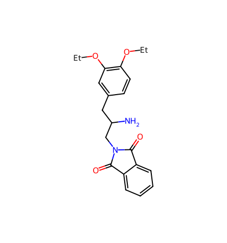 CCOc1ccc(CC(N)CN2C(=O)c3ccccc3C2=O)cc1OCC